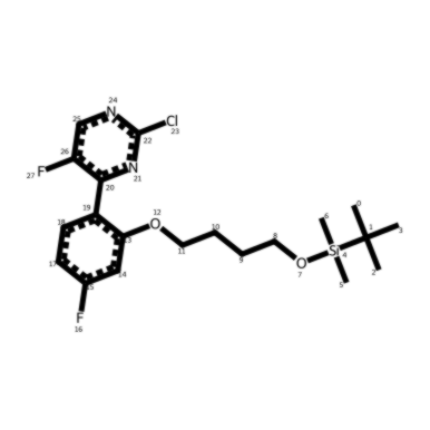 CC(C)(C)[Si](C)(C)OCCCCOc1cc(F)ccc1-c1nc(Cl)ncc1F